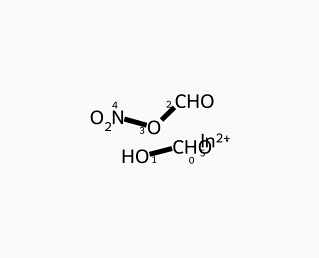 O=[C-]O.O=[C-]O[N+](=O)[O-].[In+2]